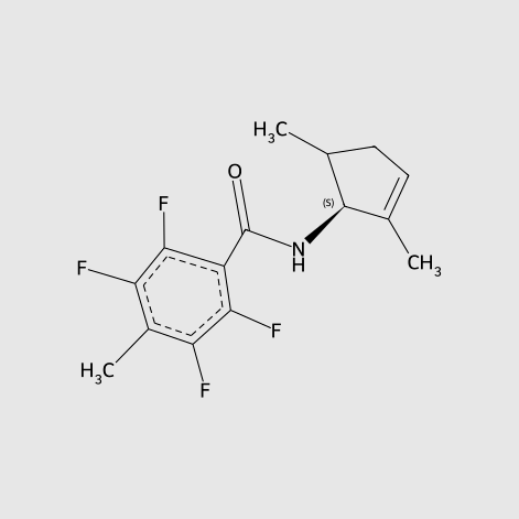 CC1=CCC(C)[C@@H]1NC(=O)c1c(F)c(F)c(C)c(F)c1F